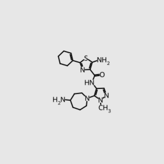 Cn1ncc(NC(=O)c2nc(C3=CCCCC3)sc2N)c1N1CCCC(N)CC1